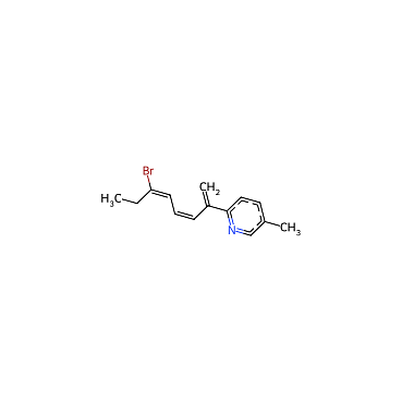 C=C(/C=C\C=C(\Br)CC)c1ccc(C)cn1